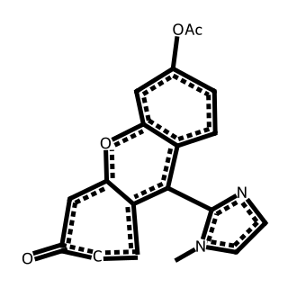 CC(=O)Oc1ccc2c(-c3nccn3C)c3ccc(=O)cc-3oc2c1